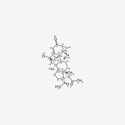 CC(=O)O[C@]1(C(C)=O)CC[C@H]2C3C=C(Cl)C4=CC(=O)C5C[C@@H]5[C@]4(C)[C@H]3CC[C@@]21C